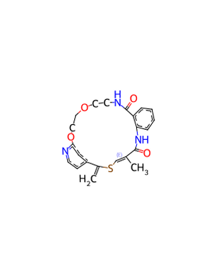 C=C1S/C=C(\C)C(=O)Nc2ccccc2C(=O)NCCOCCOc2cc1ccn2